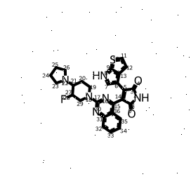 O=C1NC(=O)C(c2c[nH]c3sccc23)=C1c1nc(N2CCC(N3CCCC3)C(F)C2)nc2ccccc12